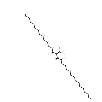 CCCCCCCCCCCCCCC(O)C(=O)C(C(N)O)C(O)CCCCCCCCCCCCC